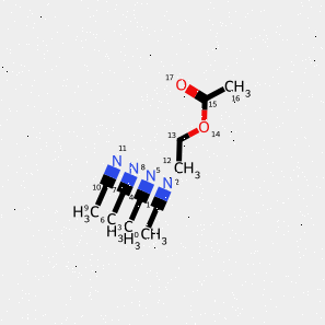 CC#N.CC#N.CC#N.CC#N.CCOC(C)=O